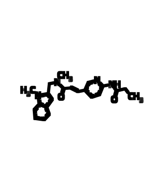 CCC(=O)Nc1ccc(C=CC(=O)N(C)Cc2cc3ccccc3n2C)cn1